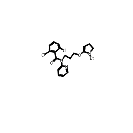 [CH2]CN1CCC=C1OCCCN(C(=O)c1c(Cl)cccc1Cl)c1ccccn1